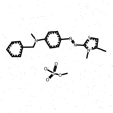 COS(=O)(=O)[O-].Cc1csc(N=Nc2ccc(N(C)Cc3ccccc3)cc2)[n+]1C